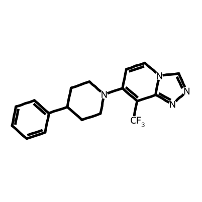 FC(F)(F)c1c(N2CCC(c3ccccc3)CC2)ccn2cnnc12